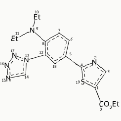 CCOC(=O)c1cnc(-c2ccc(N(CC)CC)c(-n3cnnn3)c2)s1